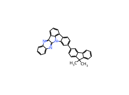 CC1(C)c2ccccc2-c2cc(-c3ccc4c5cccc6c7nc8ccccc8nc7n(c4c3)c56)ccc21